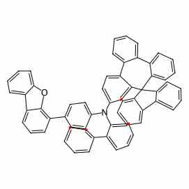 c1ccc(-c2ccccc2N(c2ccc(-c3cccc4c3oc3ccccc34)cc2)c2ccc3c(c2)C2(c4ccccc4-c4ccccc4-3)c3ccccc3-c3ccccc32)cc1